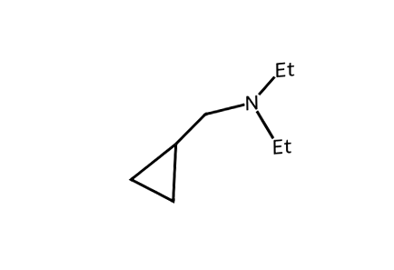 CCN(CC)CC1CC1